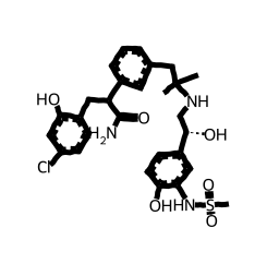 CC(C)(Cc1cccc(C(Cc2ccc(Cl)cc2O)C(N)=O)c1)NC[C@H](O)c1ccc(O)c(NS(C)(=O)=O)c1